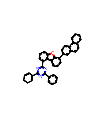 C1=CC(c2nc(-c3ccccc3)nc(-c3cccc4oc5c(-c6ccc7c(ccc8ccccc87)c6)cccc5c34)n2)=CCC1